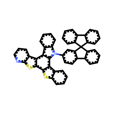 c1ccc2c(c1)-c1ccccc1C21c2ccccc2-c2ccc(-n3c4ccccc4c4c5c6cccnc6sc5c5sc6ccccc6c5c43)cc21